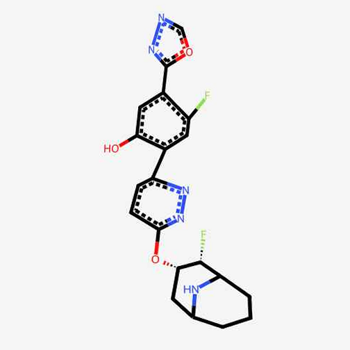 Oc1cc(-c2nnco2)c(F)cc1-c1ccc(O[C@H]2CC3CCCC(N3)[C@H]2F)nn1